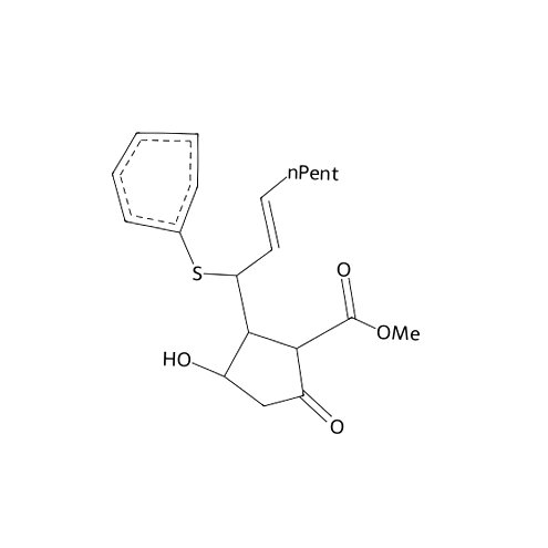 CCCCCC=CC(Sc1ccccc1)C1C(O)CC(=O)C1C(=O)OC